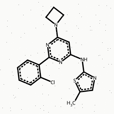 Cc1cnc(Nc2cc(N3CCC3)nc(-c3ccccc3Cl)n2)s1